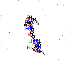 COC(=O)N[C@H](C(=O)N1[C@H](c2nc(Cl)c(-c3ccc4c(c3)COc3cc5c(ccc6nc([C@@H]7C[C@@H]8CCC[C@@H]8N7C(=O)[C@@H](NC(=O)OC)C(C)C)[nH]c65)cc3-4)[nH]2)C[C@@H]2CCC[C@@H]21)C(C)C